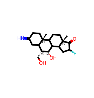 C[C@]12CCC(=N)CC1[C@@H](CO)[C@@H](O)C1C2CC[C@]2(C)C(=O)C(F)CC12